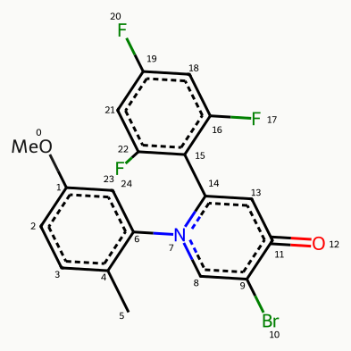 COc1ccc(C)c(-n2cc(Br)c(=O)cc2-c2c(F)cc(F)cc2F)c1